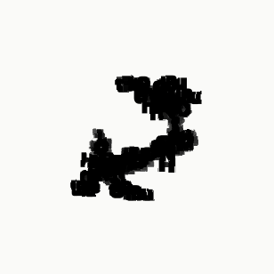 CC(C)(C)OC(=O)CC[C@H](NC(=O)c1ccc(I)cc1)C(=O)N[C@@H](CCC(=O)OC(C)(C)C)C(=O)N[C@@H](Cc1ccc(OCC(=O)N[C@@H](Cc2ccccc2)C(=O)NCCCC[C@H](NC(=O)N[C@@H](CCC(=O)OC(C)(C)C)C(=O)OC(C)(C)C)C(=O)OC(C)(C)C)cc1)C(=O)OC(C)(C)C